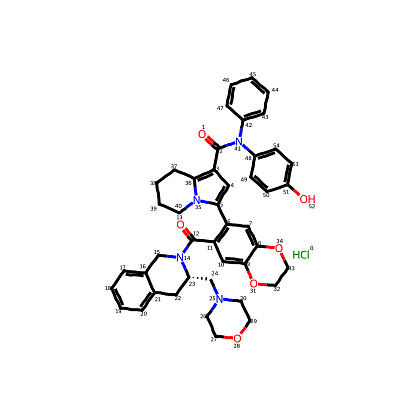 Cl.O=C(c1cc(-c2cc3c(cc2C(=O)N2Cc4ccccc4C[C@H]2CN2CCOCC2)OCCO3)n2c1CCCC2)N(c1ccccc1)c1ccc(O)cc1